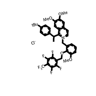 COc1cc2cc[n+](Cc3cccc(OC)c3OCc3c(F)c(F)c(C(F)(F)F)c(F)c3F)c(C(C)c3ccc(C(C)(C)C)cc3)c2cc1OC.[Cl-]